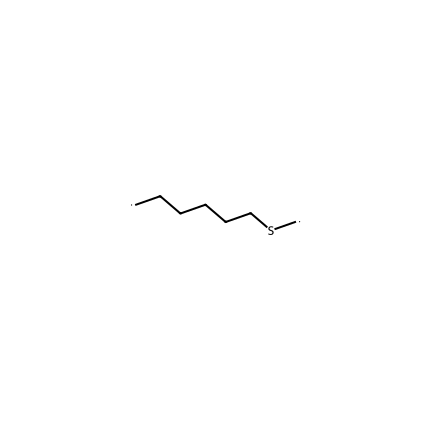 [CH2]CCCCCS[CH2]